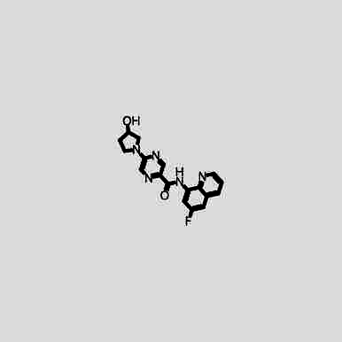 O=C(Nc1cc(F)cc2cccnc12)c1cnc(N2CCC(O)C2)cn1